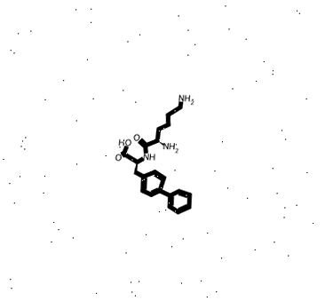 NCCCC[C@H](N)C(=O)N[C@@H](Cc1ccc(-c2ccccc2)cc1)C(=O)O